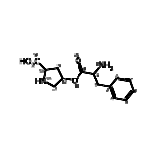 NC(Cc1ccccc1)C(=O)OC1CNC(C(=O)O)C1